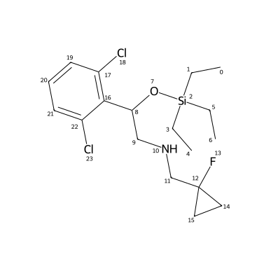 CC[Si](CC)(CC)OC(CNCC1(F)CC1)c1c(Cl)cccc1Cl